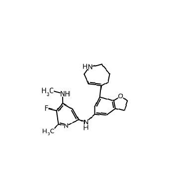 CNc1cc(Nc2cc3c(c(C4=CCNCCC4)c2)OCC3)nc(C)c1F